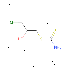 NC(=S)SCC(O)CCl